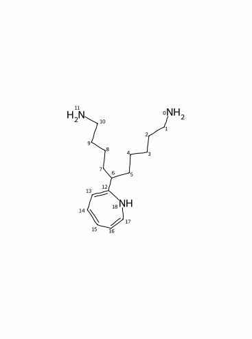 NCCCCCC(CCCCN)C1=CC=CC=CN1